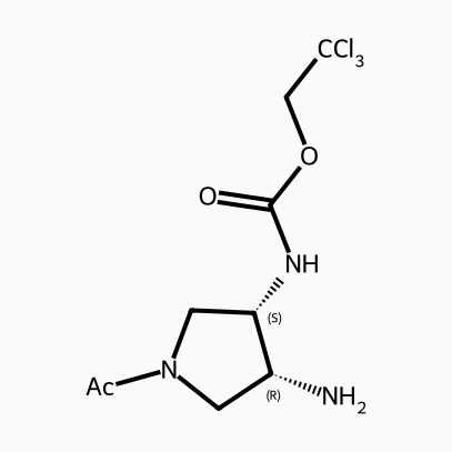 CC(=O)N1C[C@@H](N)[C@@H](NC(=O)OCC(Cl)(Cl)Cl)C1